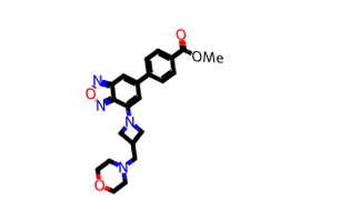 COC(=O)c1ccc(-c2cc(N3CC(CN4CCOCC4)C3)c3nonc3c2)cc1